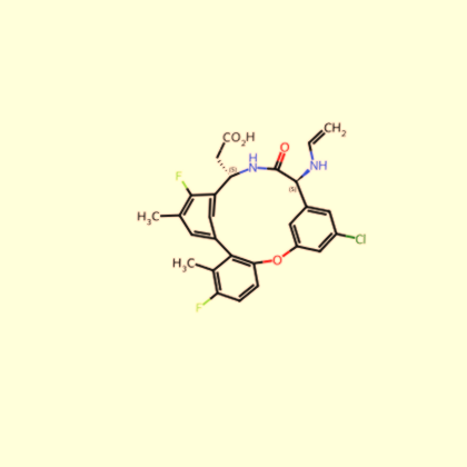 C=CN[C@@H]1C(=O)N[C@@H](CC(=O)O)c2cc(cc(C)c2F)-c2c(ccc(F)c2C)Oc2cc(Cl)cc1c2